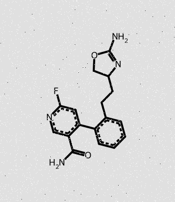 NC(=O)c1cnc(F)cc1-c1ccccc1CCC1COC(N)=N1